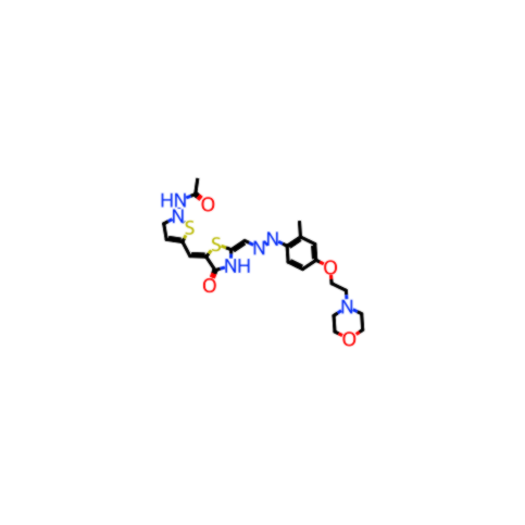 CC(=O)NN1CC=C(C=c2sc(=CN=Nc3ccc(OCCN4CCOCC4)cc3C)[nH]c2=O)S1